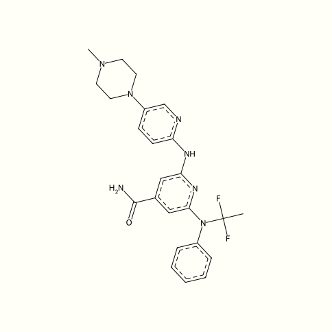 CN1CCN(c2ccc(Nc3cc(C(N)=O)cc(N(c4ccccc4)C(C)(F)F)n3)nc2)CC1